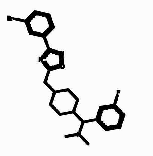 CN(C)C(c1cccc(F)c1)C1CCC(Cc2nc(-c3cccc(Br)c3)no2)CC1